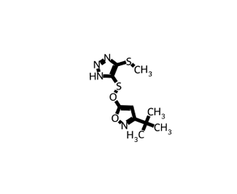 CSc1nn[nH]c1SOc1cc(C(C)(C)C)no1